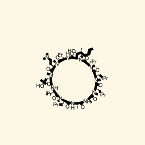 C/C=C/C[C@@H](C)[C@@H](O)[C@H]1C(=O)N[C@@H](CC)C(=O)N(C)[C@H](CCN(C)C)C(=O)N(C)[C@@H](CC(C)(C)O)C(=O)N[C@@H](C(C)C)C(=O)N(C)[C@@H](CC(C)C)C(=O)N[C@@H](C)C(=O)N[C@H](C)C(=O)N(C)[C@@H](CC(C)C)C(=O)N(C)[C@@H](CC(C)C)C(=O)N(C)[C@@H](C(C)C)C(=O)N1C